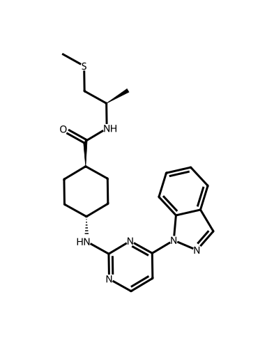 CSC[C@@H](C)NC(=O)[C@H]1CC[C@H](Nc2nccc(-n3ncc4ccccc43)n2)CC1